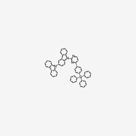 c1ccc([Si](c2ccccc2)(c2ccccc2)c2ccc(-c3ccnc(-n4c5ccccc5c5cc(-n6c7ccccc7c7ccccc76)ccc54)n3)cc2)cc1